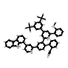 COc1ccccc1-c1cc(-c2cc(C(C)(C)C)cc(C(C)(C)C)c2)cc(-c2cc(-c3cc(-c4cccc5c4[nH]c4ccccc45)ccn3)ccc2-c2ccccc2C#N)n1